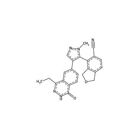 CCc1n[nH]c(=O)c2ccc(-c3cnn(C)c3-c3c(C#N)ccc4c3COC4)cc12